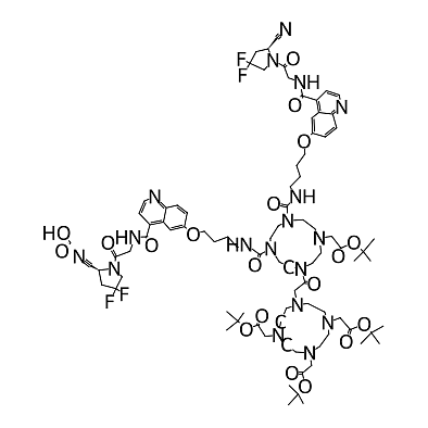 CC(C)(C)OC(=O)CN1CCN(CC(=O)OC(C)(C)C)CCN(CC(=O)N2CCN(CC(=O)OC(C)(C)C)CCN(C(=O)NCCCCOc3ccc4nccc(C(=O)NCC(=O)N5CC(F)(F)C[C@H]5C#N)c4c3)CCN(C(=O)NCCCCOc3ccc4nccc(C(=O)NCC(=O)N5CC(F)(F)C[C@H]5C#N)c4c3)CC2)CCN(CC(=O)OC(C)(C)C)CC1.O=CO